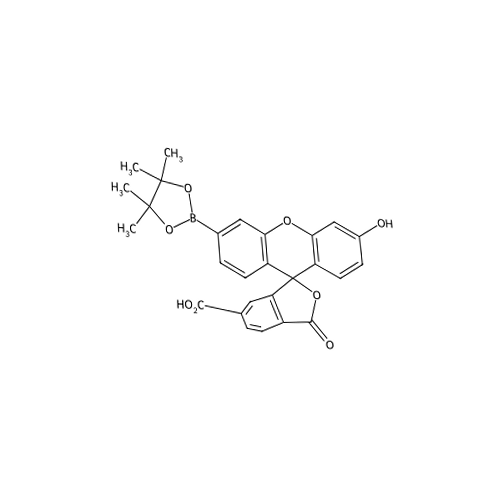 CC1(C)OB(c2ccc3c(c2)Oc2cc(O)ccc2C32OC(=O)c3ccc(C(=O)O)cc32)OC1(C)C